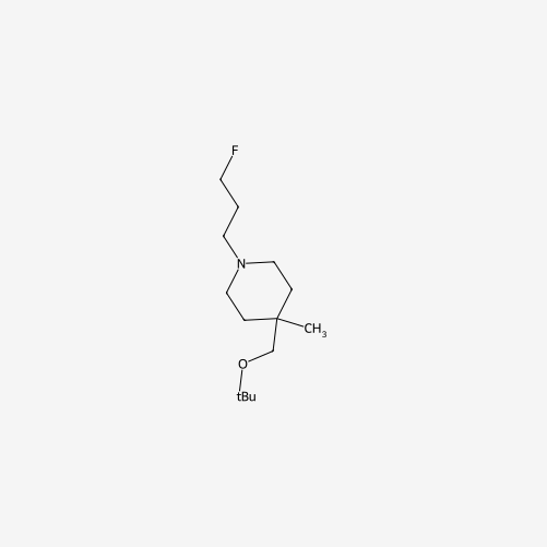 CC1(COC(C)(C)C)CCN(CCCF)CC1